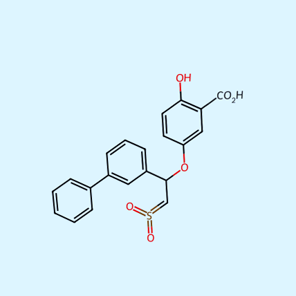 O=C(O)c1cc(OC(C=S(=O)=O)c2cccc(-c3ccccc3)c2)ccc1O